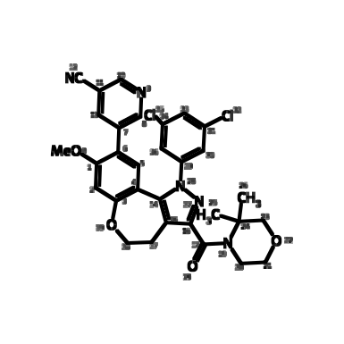 COc1cc2c(cc1-c1cncc(C#N)c1)-c1c(c(C(=O)N3CCOCC3(C)C)nn1-c1cc(Cl)cc(Cl)c1)CCO2